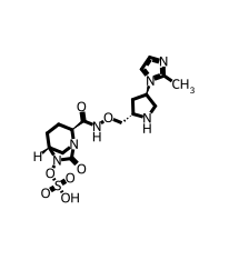 Cc1nccn1[C@H]1CN[C@H](CONC(=O)[C@@H]2CC[C@@H]3CN2C(=O)N3OS(=O)(=O)O)C1